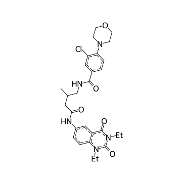 CCn1c(=O)c2cc(NC(=O)CC(C)CNC(=O)c3ccc(N4CCOCC4)c(Cl)c3)ccc2n(CC)c1=O